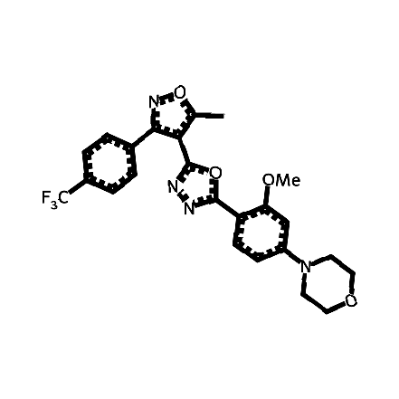 COc1cc(N2CCOCC2)ccc1-c1nnc(-c2c(-c3ccc(C(F)(F)F)cc3)noc2C)o1